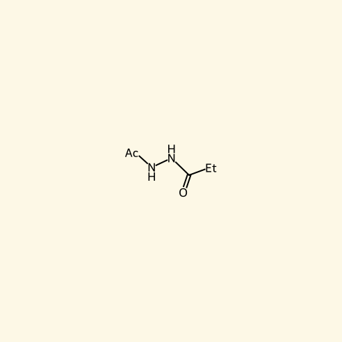 CCC(=O)NNC(C)=O